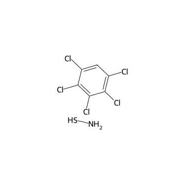 Clc1cc(Cl)c(Cl)c(Cl)c1Cl.NS